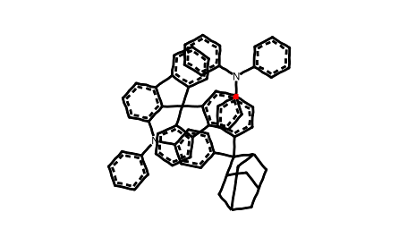 c1ccc(N(c2ccccc2)c2ccc(C3(c4ccc(N(c5ccccc5)c5cccc6c5C5(c7ccccc7-c7ccccc75)c5ccccc5-6)cc4)C4CC5CC(C4)CC3C5)cc2)cc1